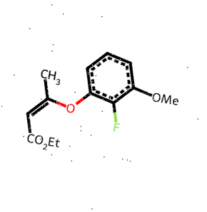 CCOC(=O)/C=C(/C)Oc1cccc(OC)c1F